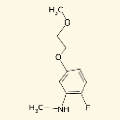 CNc1cc(OCCOC)ccc1F